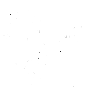 N#Cc1c(N)sc2c1C1(CCC2)CN(c2nc(OC[C@@]34CCCN3C[C@H](F)C4)cc(N3CC4CCC(C3)N4)n2)C1